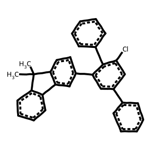 CC1(C)c2ccccc2-c2cc(-c3cc(-c4ccccc4)cc(Cl)c3-c3ccccc3)ccc21